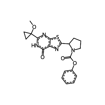 COC1(c2nc3sc(C4CCCN4C(=O)Oc4ccccc4)nc3c(=O)[nH]2)CC1